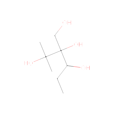 CCC(O)C(O)(CO)C(C)(C)O